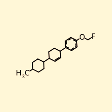 CC1CCC(C2C=CC(c3ccc(OCF)cc3)CC2)CC1